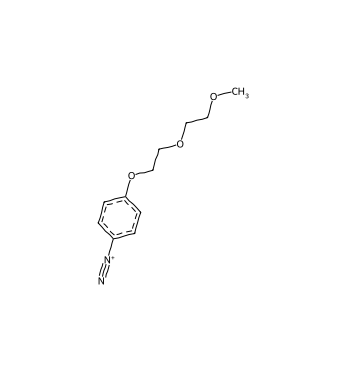 COCCOCCOc1ccc([N+]#N)cc1